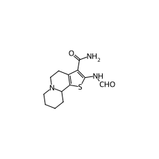 NC(=O)c1c(NC=O)sc2c1CCN1CCCCC21